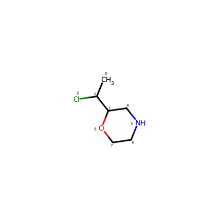 CC(Cl)C1CNCCO1